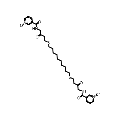 O=C(CCSCCCCCCCCCCSCCC(=O)CNC(=O)c1ccc[n+]([O-])c1)CNC(=O)c1ccc[n+]([O-])c1